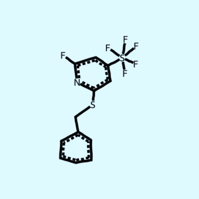 Fc1cc(S(F)(F)(F)(F)F)cc(SCc2ccccc2)n1